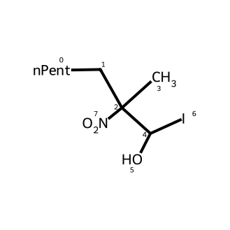 CCCCCCC(C)(C(O)I)[N+](=O)[O-]